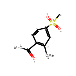 COC(=O)c1ccc(S(C)(=O)=O)cc1OC